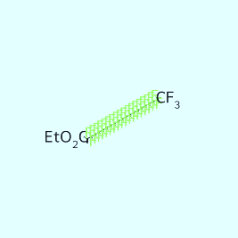 C=C(C(=O)OCC)C(F)(F)C(F)(F)C(F)(F)C(F)(F)C(F)(F)C(F)(F)C(F)(F)C(F)(F)C(F)(F)C(F)(F)C(F)(F)C(F)(F)C(F)(F)C(F)(F)C(F)(F)C(F)(F)C(F)(F)C(F)(F)C(F)(F)F